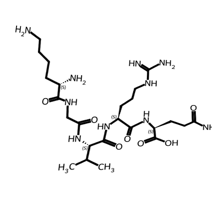 CC(C)[C@H](NC(=O)CNC(=O)[C@@H](N)CCCCN)C(=O)N[C@@H](CCCNC(=N)N)C(=O)N[C@@H](CCC(N)=O)C(=O)O